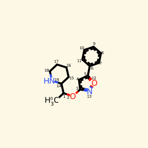 CC(Oc1cc(-c2ccccc2)on1)C1CCCCN1